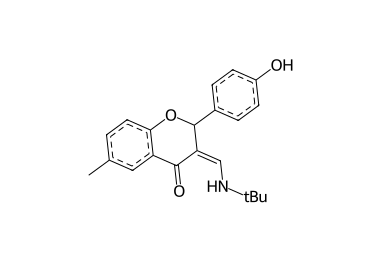 Cc1ccc2c(c1)C(=O)/C(=C\NC(C)(C)C)C(c1ccc(O)cc1)O2